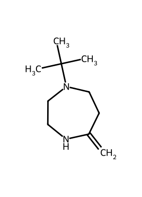 C=C1CCN(C(C)(C)C)CCN1